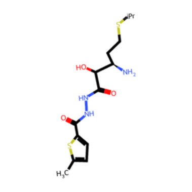 Cc1ccc(C(=O)NNC(=O)C(O)[C@H](N)CCSC(C)C)s1